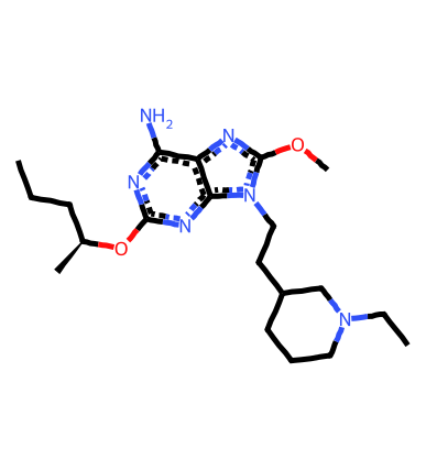 CCC[C@H](C)Oc1nc(N)c2nc(OC)n(CCC3CCCN(CC)C3)c2n1